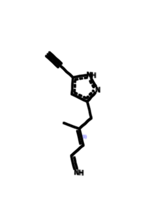 C#Cc1cc(C/C(C)=C/C=N)n[nH]1